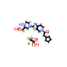 O=C(CC1CCCC1)N1CCc2nc(N3CCNC(CO)C3)sc2C1.O=C(O)C(F)(F)F